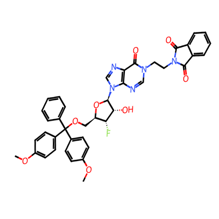 COc1ccc(C(OC[C@H]2O[C@@H](n3cnc4c(=O)n(CCN5C(=O)c6ccccc6C5=O)cnc43)[C@H](O)[C@@H]2F)(c2ccccc2)c2ccc(OC)cc2)cc1